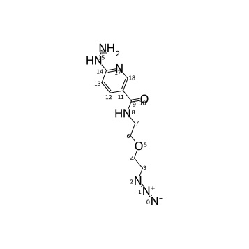 [N-]=[N+]=NCCOCCNC(=O)c1ccc(NN)nc1